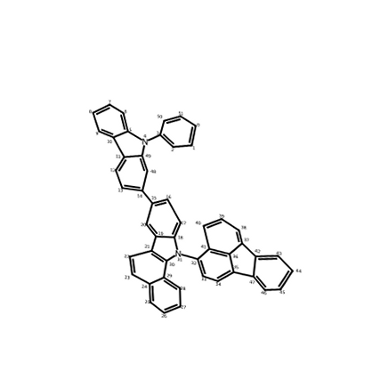 c1ccc(-n2c3ccccc3c3ccc(-c4ccc5c(c4)c4ccc6ccccc6c4n5-c4ccc5c6c(cccc46)-c4ccccc4-5)cc32)cc1